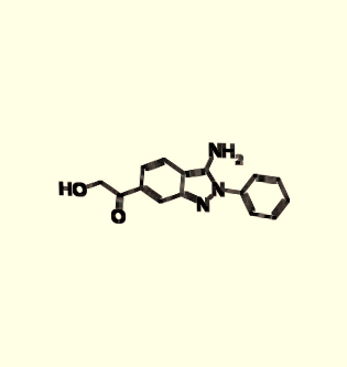 Nc1c2ccc(C(=O)CO)cc2nn1-c1ccccc1